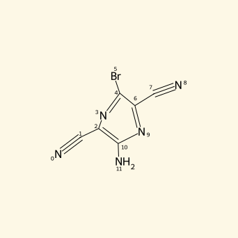 N#Cc1nc(Br)c(C#N)nc1N